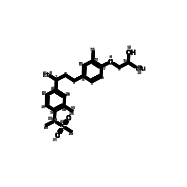 CCC(CCc1ccc(OCC(O)C(C)(C)C)c(C)c1)c1ccc(N(C)S(C)(=O)=O)c(C)c1